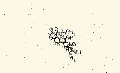 C=CCOC(=O)N1C(=O)COc2ccc(C3=C(C(=O)O)N4C(=O)[C@H]([C@@H](C)O)[C@H]4C3)cc21